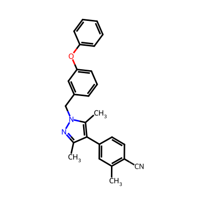 Cc1cc(-c2c(C)nn(Cc3cccc(Oc4ccccc4)c3)c2C)ccc1C#N